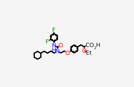 CCOC(Cc1ccc(OCCN(CCCCC2CCCCC2)C(=O)Nc2ccc(F)cc2F)cc1)C(=O)O